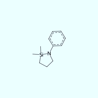 C[Si]1(C)CCCN1c1ccccc1